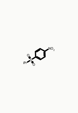 CC(C)S(=O)(=O)c1ccc([N+](=O)[O-])cc1